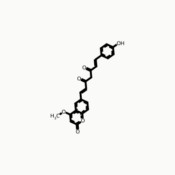 COc1cc(=O)oc2ccc(C=CC(=O)CC(=O)C=Cc3ccc(O)cc3)cc12